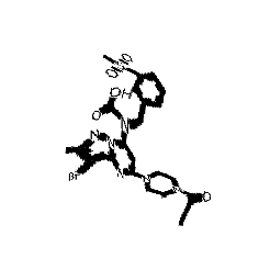 CC(=O)N1CCN(c2cc(N(Cc3cccc(S(C)(=O)=O)c3)C(=O)O)n3nc(C)c(Br)c3n2)CC1